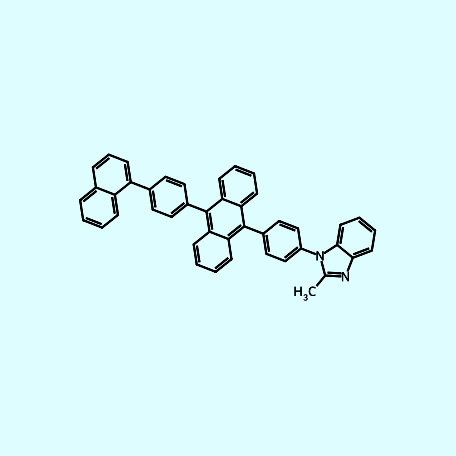 Cc1nc2ccccc2n1-c1ccc(-c2c3ccccc3c(-c3ccc(-c4cccc5ccccc45)cc3)c3ccccc23)cc1